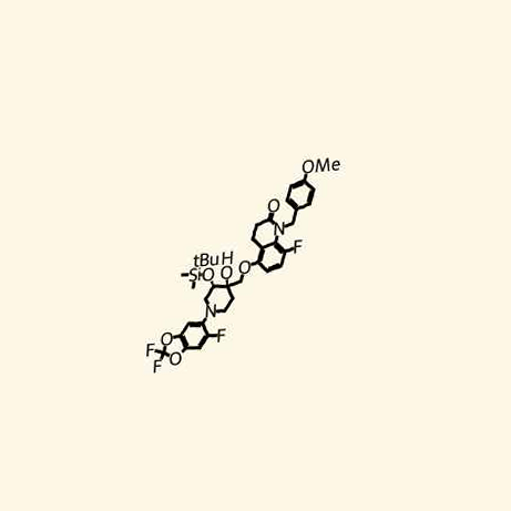 COc1ccc(CN2C(=O)CCc3c(OC[C@]4(O)CCN(c5cc6c(cc5F)OC(F)(F)O6)C[C@H]4O[Si](C)(C)C(C)(C)C)ccc(F)c32)cc1